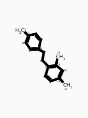 Cc1ccc(CCc2ccc(C)cc2C)cc1